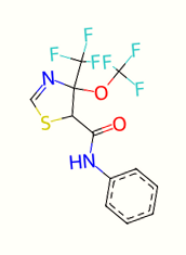 O=C(Nc1ccccc1)C1SC=NC1(OC(F)(F)F)C(F)(F)F